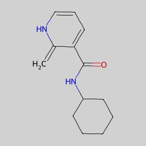 C=C1NC=CC=C1C(=O)NC1CCCCC1